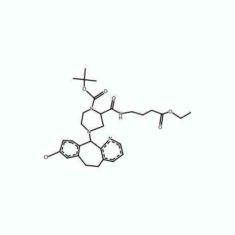 CCOC(=O)CCCNC(=O)C1CN(C2c3ccc(Cl)cc3CCc3cccnc32)CCN1C(=O)OC(C)(C)C